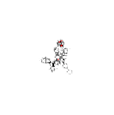 c1ccc(-c2ccc(N(c3cccc(C4(c5ccccc5)c5ccccc5C5(c6ccccc6)c6ccccc6-c6cccc4c65)c3)c3ccc4c(c3)c3ccccc3n4-c3ccc4ccccc4c3)cc2)cc1